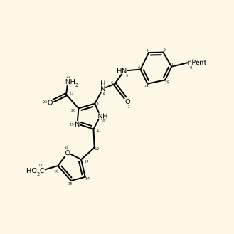 CCCCCc1ccc(NC(=O)Nc2[nH]c(Cc3ccc(C(=O)O)o3)nc2C(N)=O)cc1